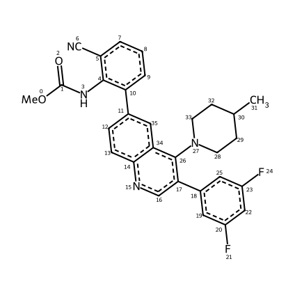 COC(=O)Nc1c(C#N)cccc1-c1ccc2ncc(-c3cc(F)cc(F)c3)c(N3CCC(C)CC3)c2c1